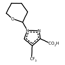 O=C(O)c1nn(C2CCCCO2)cc1C(F)(F)F